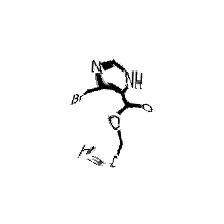 CCOC(=O)c1[nH]cnc1Br